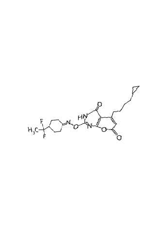 CC(F)(F)C1CCC(=NOc2nc3oc(=O)cc(CCCCC4CC4)c3c(=O)[nH]2)CC1